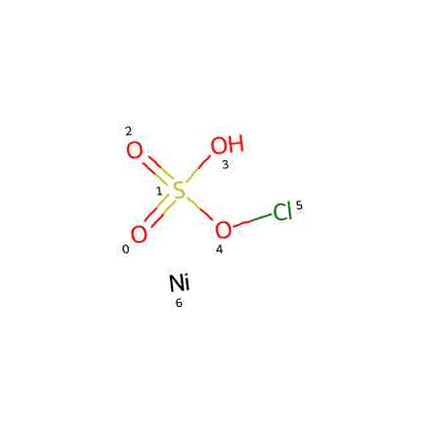 O=S(=O)(O)OCl.[Ni]